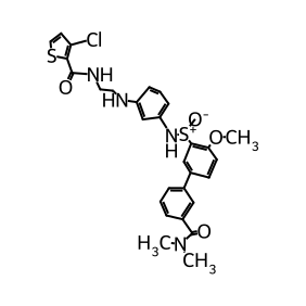 COc1ccc(-c2cccc(C(=O)N(C)C)c2)cc1[S+]([O-])Nc1cccc(NCCNC(=O)c2sccc2Cl)c1